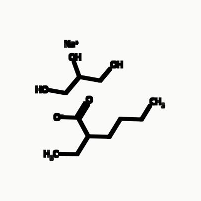 CCCCC(CC)C(=O)[O-].OCC(O)CO.[Na+]